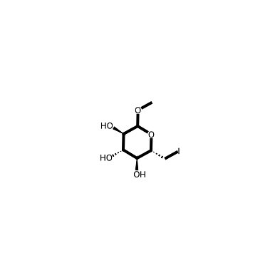 COC1O[C@H](CI)[C@@H](O)[C@H](O)[C@H]1O